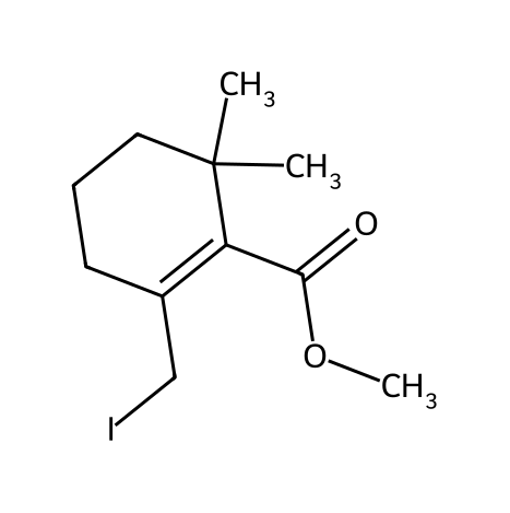 COC(=O)C1=C(CI)CCCC1(C)C